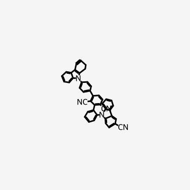 N#Cc1ccc2c(c1)c1ccccc1n2-c1ccccc1-c1c(C#N)ccc(-c2ccc(-n3c4c(c5ccccc53)C#CCC4)cc2)c1C#N